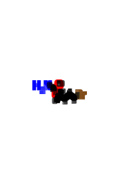 CC(C)(CCCBr)OC(N)=O